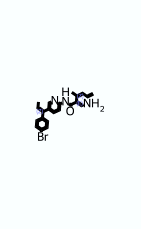 C=C/C=C(C)\C(=C/N)C(=O)Nc1ccc(/C(=C\C)c2ccc(Br)cc2)cn1